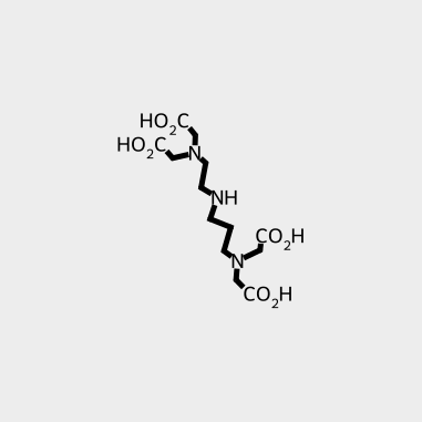 O=C(O)CN(CCCNCCN(CC(=O)O)CC(=O)O)CC(=O)O